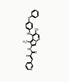 Cc1c(NC(=O)/C(F)=C/c2cccnc2)cn2ncc(C#N)c(Nc3ccc(Oc4ccccc4)cc3)c12